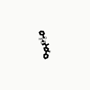 CC(c1ccc(-c2ccccc2)c(F)c1)c1csc(NC(=O)c2ccccc2)n1